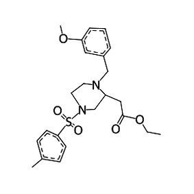 CCOC(=O)CC1CN(S(=O)(=O)c2ccc(C)cc2)CCN1Cc1cccc(OC)c1